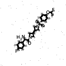 NC(C(=O)N1CC(=C2CN(S(=O)(=O)c3ccc(OC(F)F)cc3)C2)C1)c1ccc(F)cc1